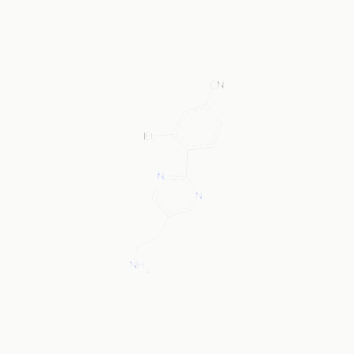 CCc1cc(C#N)ccc1-c1ncc(CCN)cn1